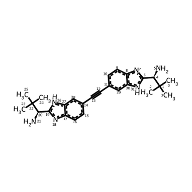 CC(C)(C)[C@H](N)c1nc2ccc(C#Cc3ccc4nc([C@@H](N)C(C)(C)C)[nH]c4c3)cc2[nH]1